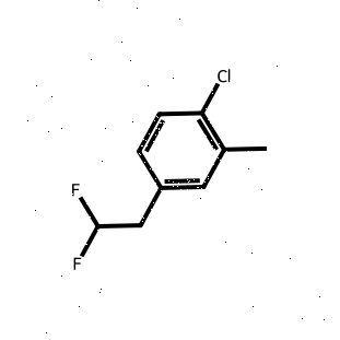 Cc1cc(CC(F)F)ccc1Cl